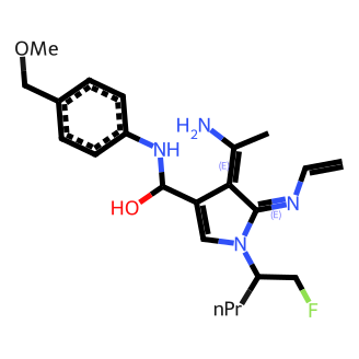 C=C/N=C1\C(=C(/C)N)C(C(O)Nc2ccc(COC)cc2)=CN1C(CF)CCC